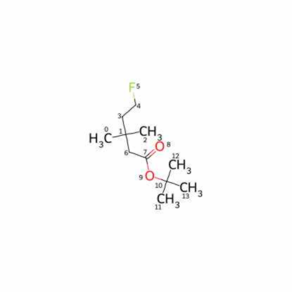 CC(C)(CCF)CC(=O)OC(C)(C)C